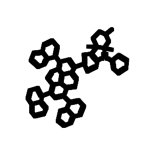 CC1CCC2(C)c3cc(-c4cc(-c5cccc6ccccc56)c5ccc6c(-c7cccc8ccccc78)cc(-c7cccc8ccccc78)c7ccc4c5c76)ccc3N(c3ccccc3)C2(C)C1